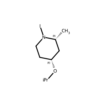 CC(C)O[C@@H]1CCN(I)[C@H](C)C1